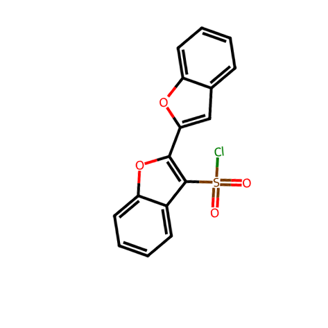 O=S(=O)(Cl)c1c(-c2cc3ccccc3o2)oc2ccccc12